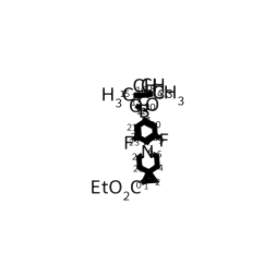 CCOC(=O)C1CC12CCN(c1c(F)cc(B3OC(C)(C)C(C)(C)O3)cc1F)CC2